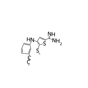 CCCc1cccc(Nc2cc(C(=N)N)sc2SC)c1